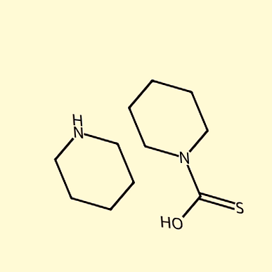 C1CCNCC1.OC(=S)N1CCCCC1